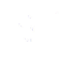 c1ccc(-c2nc(-n3c4ccccc4c4ccc5c6ccccc6[nH]c5c43)nc3ccc4oc5ccccc5c4c23)cc1